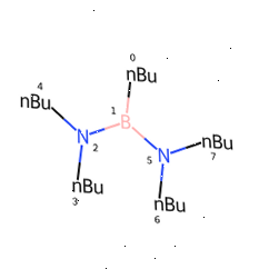 CCCCB(N(CCCC)CCCC)N(CCCC)CCCC